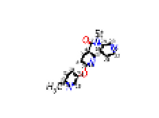 CCN(C(=O)c1ccc(Oc2ccc(C)nc2)nc1)c1cccnc1